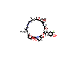 CO[C@H]1C[C@@H]2CC[C@@H](C)[C@@](O)(O2)C(=O)C(=O)N2CCCC[C@H]2C(=O)O[C@H]([C@H](C)C[C@@H]2CC[C@@H](O)[C@H](F)C2)CC(=O)[C@H](C)/C=C(\C)[C@@H](O)[C@@H](OC)C(=O)[C@H](C)C[C@H](C)/C=C/C=C/C=C/1C